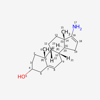 C[C@]12CCC(O)CC1=CC[C@@H]1[C@H]2CC[C@]2(C)C(N)=CC[C@@H]12